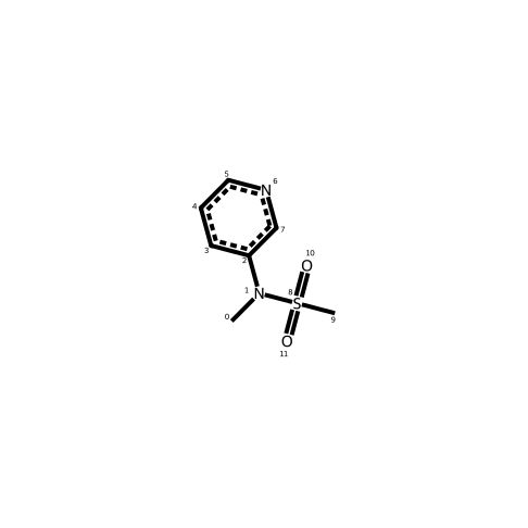 CN(c1cccnc1)S(C)(=O)=O